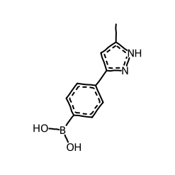 Cc1cc(-c2ccc(B(O)O)cc2)n[nH]1